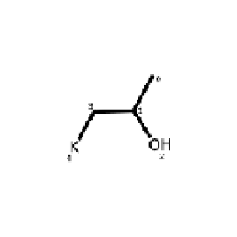 CC(O)[CH2][K]